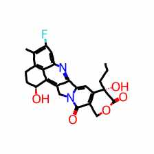 CCC[C@@]1(O)C(=O)OCc2c1cc1n(c2=O)Cc2c-1nc1cc(F)c(C)c3c1c2[C@@H](O)CC3